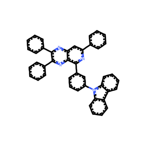 c1ccc(-c2cc3nc(-c4ccccc4)c(-c4ccccc4)nc3c(-c3cccc(-n4c5ccccc5c5ccccc54)c3)n2)cc1